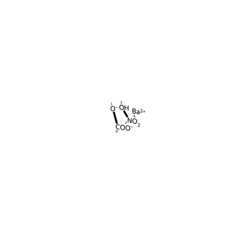 O=C([O-])[O-].O=[N+]([O-])O.[Ba+2]